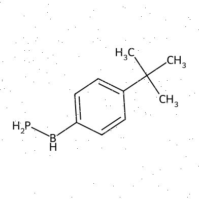 CC(C)(C)c1ccc(BP)cc1